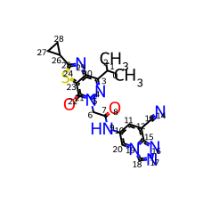 CC(C)c1nn(CC(=O)Nc2cc(C#N)c3nncn3c2)c(=O)c2sc(C3CC3)nc12